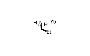 CCCN.I.[Yb]